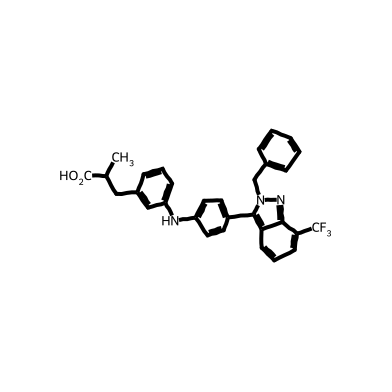 CC(Cc1cccc(Nc2ccc(-c3c4cccc(C(F)(F)F)c4nn3Cc3ccccc3)cc2)c1)C(=O)O